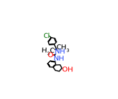 CC(C)(NC(=O)Nc1cccc2c1CC(O)CC2)c1ccc(Cl)cc1